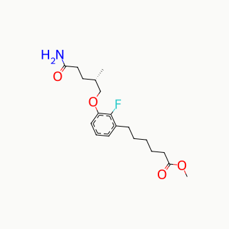 COC(=O)CCCCCc1cccc(OC[C@@H](C)CCC(N)=O)c1F